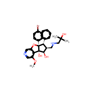 COc1cncc2c1[C@]1(O)[C@H](O)[C@H](CNCC(C)(C)O)[C@@H](c3ccccc3)[C@]1(c1ccc(Br)cc1)O2